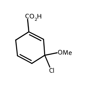 COC1(Cl)C=CCC(C(=O)O)=C1